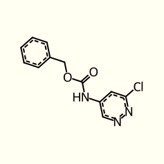 O=C(Nc1cnnc(Cl)c1)OCc1ccccc1